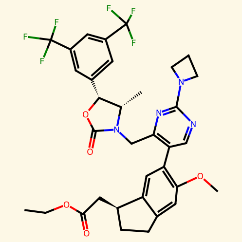 CCOC(=O)C[C@@H]1CCc2cc(OC)c(-c3cnc(N4CCC4)nc3CN3C(=O)O[C@H](c4cc(C(F)(F)F)cc(C(F)(F)F)c4)[C@@H]3C)cc21